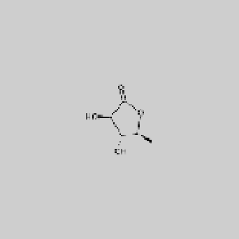 C[C@@H]1OC(=O)[C@H](O)[C@H]1O